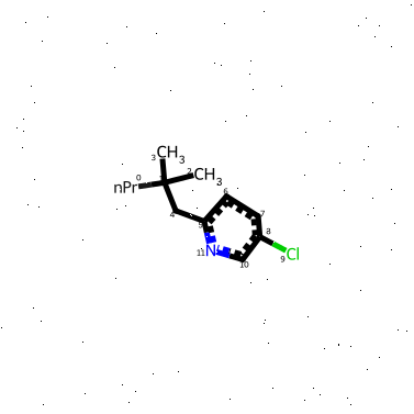 CCCC(C)(C)Cc1ccc(Cl)cn1